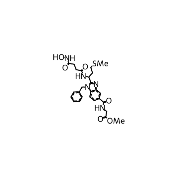 COC(=O)CNC(=O)c1ccc2c(c1)nc(C(CCSC)NC(=O)CCC(=O)NO)n2Cc1ccccc1